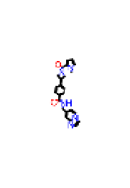 Cn1cccc1C(=O)N1CC(c2ccc(C(=O)NCc3ccn4ccnc4c3)cc2)C1